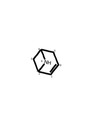 C1=C[C]2CC(C1)N2